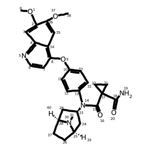 COc1cc2nccc(Oc3ccc(N(C(=O)C4(C(N)=O)CC4)[C@H]4C[C@H]5CC[C@@H](C4)N5C)cc3)c2cc1OC